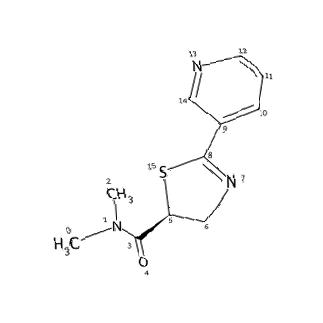 CN(C)C(=O)[C@@H]1CN=C(c2cccnc2)S1